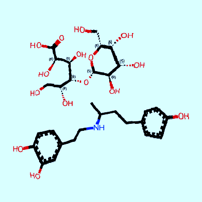 CC(CCc1ccc(O)cc1)NCCc1ccc(O)c(O)c1.O=C(O)[C@H](O)[C@@H](O)[C@H](O[C@@H]1O[C@H](CO)[C@H](O)[C@H](O)[C@H]1O)[C@H](O)CO